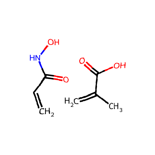 C=C(C)C(=O)O.C=CC(=O)NO